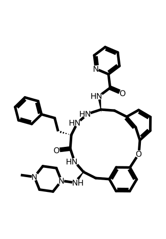 CN1CCN(N[C@@H]2Cc3cccc(c3)Oc3cccc(c3)C[C@H](NC(=O)c3ccccn3)NN[C@@H](CCc3ccccc3)C(=O)N2)CC1